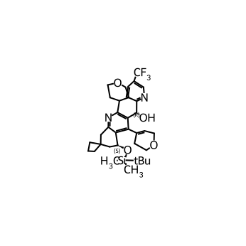 CC(C)(C)[Si](C)(C)O[C@H]1CC2(CCC2)Cc2nc(C3CCOCC3)c([C@@H](O)c3ccc(C(F)(F)F)cn3)c(C3=CCOCC3)c21